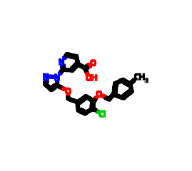 Cc1ccc(COc2cc(COc3ccnn3-c3cc(C(=O)O)ccn3)ccc2Cl)cc1